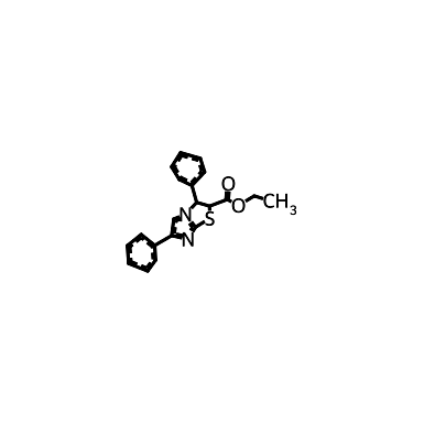 CCOC(=O)C1Sc2nc(-c3ccccc3)cn2C1c1ccccc1